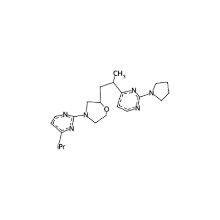 CC(C)c1ccnc(N2CCOC(CC(C)c3ccnc(N4CCCC4)n3)C2)n1